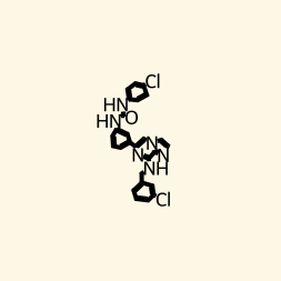 O=C(Nc1ccc(Cl)cc1)Nc1cccc(-c2cn3ccnc3c(NCc3cccc(Cl)c3)n2)c1